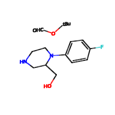 CC(C)(C)OC=O.OCC1CNCCN1c1ccc(F)cc1